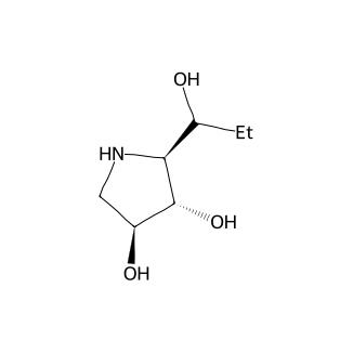 CCC(O)[C@@H]1NC[C@H](O)[C@H]1O